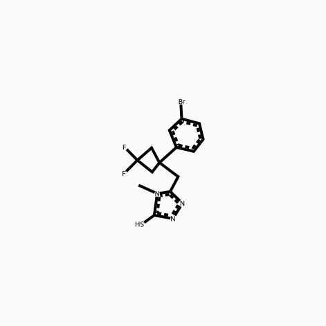 Cn1c(S)nnc1CC1(c2cccc(Br)c2)CC(F)(F)C1